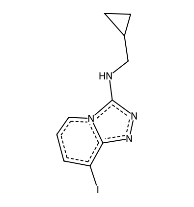 Ic1cccn2c(NCC3CC3)nnc12